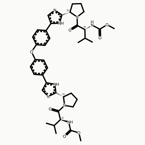 COC(=O)N[C@H](C(=O)N1CCC[C@H]1c1ncc(-c2ccc(Oc3ccc(-c4cnc([C@@H]5CCCN5C(=O)[C@H](NC(=O)OC)C(C)C)[nH]4)cc3)cc2)[nH]1)C(C)C